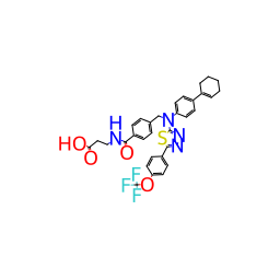 O=C(O)CCNC(=O)c1ccc(CN(c2ccc(C3=CCCCC3)cc2)c2nnc(-c3ccc(OC(F)(F)F)cc3)s2)cc1